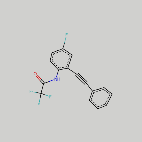 O=C(Nc1ccc(F)cc1C#Cc1ccccc1)C(F)(F)F